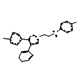 O=S(=O)(CCn1cc(C2=CCCC=C2)c(-c2ccc(Cl)cc2)n1)c1ccc(Cl)cc1